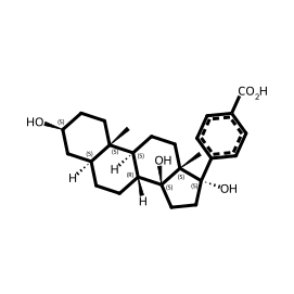 C[C@]12CC[C@H](O)C[C@@H]1CC[C@@H]1[C@@H]2CC[C@]2(C)[C@@](O)(c3ccc(C(=O)O)cc3)CC[C@]12O